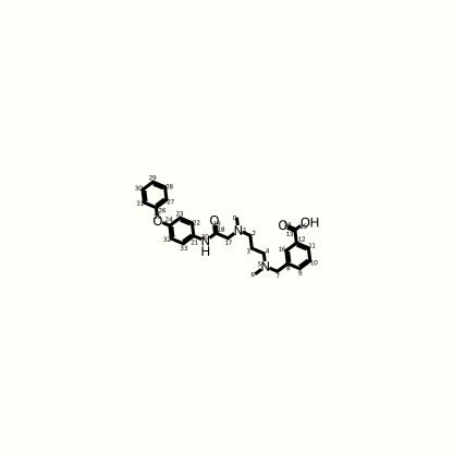 CN(CCCN(C)Cc1cccc(C(=O)O)c1)CC(=O)Nc1ccc(Oc2ccccc2)cc1